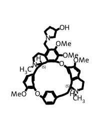 COc1ccc2cc1Oc1ccc(cc1)C[C@H]1c3cc(c(OC)cc3CCN1C)Oc1c(OC)c(OC)c(CN3CCC(O)C3)c3c1[C@H](C2)N(C)CC3